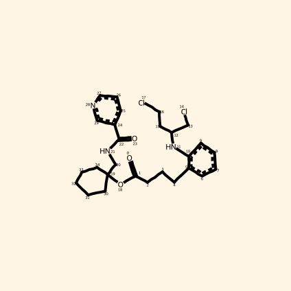 O=C(CCCc1ccccc1NC(CCl)CCCl)OC1(CNC(=O)c2cccnc2)CCCCC1